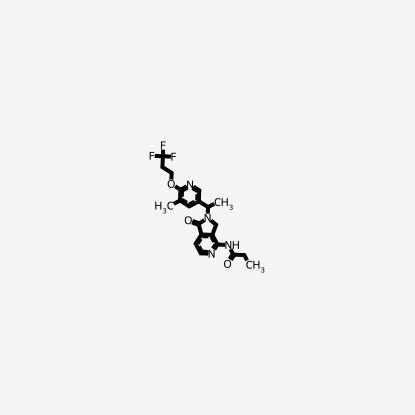 CCC(=O)Nc1nccc2c1CN(C(C)c1cnc(OCCC(F)(F)F)c(C)c1)C2=O